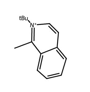 Cc1c2ccccc2cc[n+]1C(C)(C)C